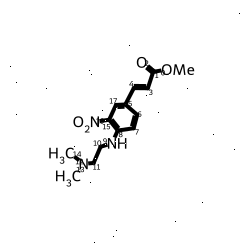 COC(=O)C=Cc1ccc(NCCN(C)C)c([N+](=O)[O-])c1